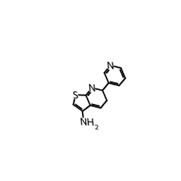 Nc1csc2c1=CCC(c1cccnc1)N=2